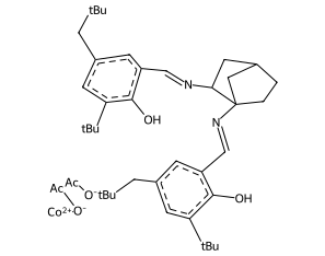 CC(=O)[O-].CC(=O)[O-].CC(C)(C)Cc1cc(C=NC2CC3CCC2(N=Cc2cc(CC(C)(C)C)cc(C(C)(C)C)c2O)C3)c(O)c(C(C)(C)C)c1.[Co+2]